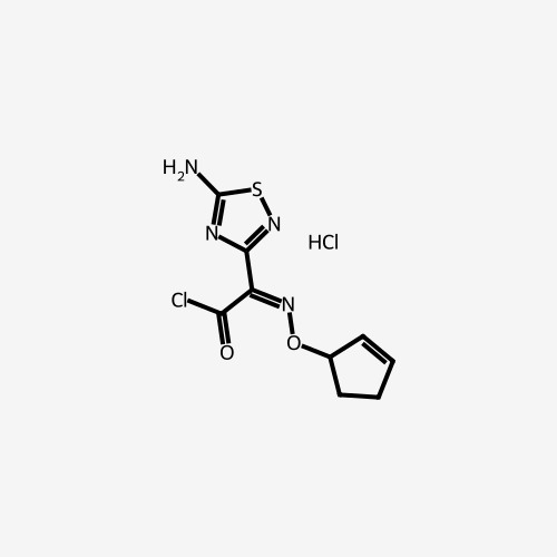 Cl.Nc1nc(/C(=N/OC2C=CCC2)C(=O)Cl)ns1